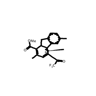 COC(=O)C1=C(C)C=C2N(C(=O)C(F)(F)F)[C@H](C)C[C@@]23c2cc(C)ccc2CC13